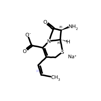 C/C=C\C1=C(C(=O)[O-])N2C(=O)[C@@H](N)[C@H]2SC1.[Na+]